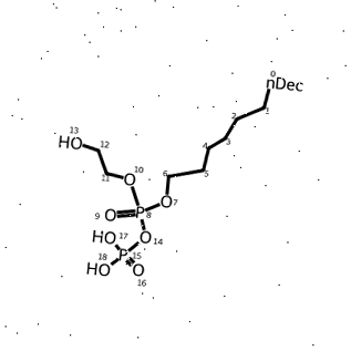 CCCCCCCCCCCCCCCCOP(=O)(OCCO)OP(=O)(O)O